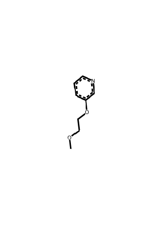 COCCOc1cccnc1